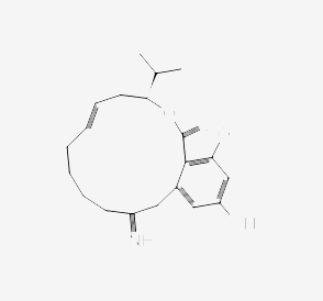 CC(C)[C@@H]1C/C=C/CCCCC(=N)Cc2cc(O)cc(O)c2C(=O)O1